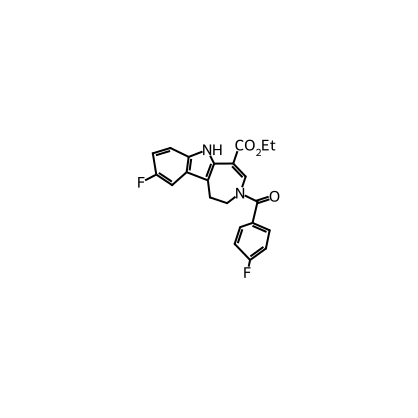 CCOC(=O)C1=CN(C(=O)c2ccc(F)cc2)CCc2c1[nH]c1ccc(F)cc21